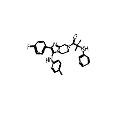 Cc1ccc(Nc2c(-c3ccc(F)cc3)nc3n2CCN(C(=O)C(C)(C)Nc2ccccc2)C3)cc1